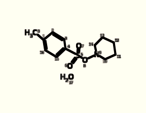 Cc1ccc(S(=O)(=O)ON2CCCCC2)cc1.O